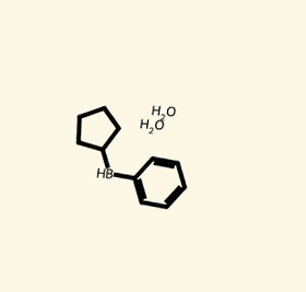 B(c1ccccc1)C1CCCC1.O.O